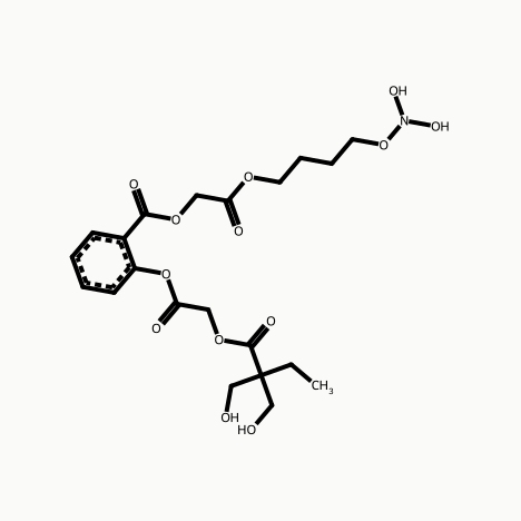 CCC(CO)(CO)C(=O)OCC(=O)Oc1ccccc1C(=O)OCC(=O)OCCCCON(O)O